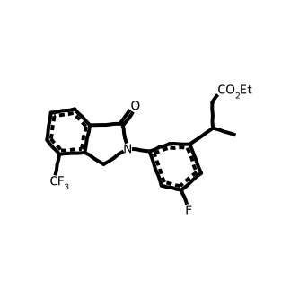 CCOC(=O)CC(C)c1cc(F)cc(N2Cc3c(cccc3C(F)(F)F)C2=O)c1